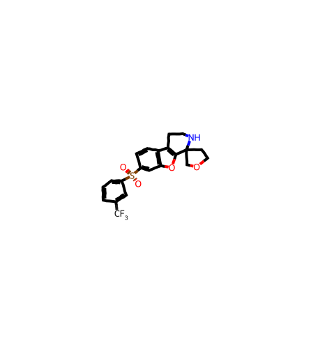 O=S(=O)(c1cccc(C(F)(F)F)c1)c1ccc2c3c(oc2c1)C1(CCOC1)NCC3